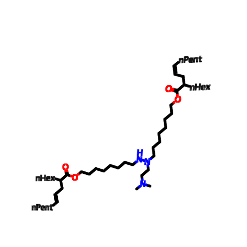 CCCCCC=CCC(CCCCCC)C(=O)OCCCCCCCCNN(CCCCCCCCOC(=O)C(C/C=C\CCCCC)CCCCCC)CCN(C)C